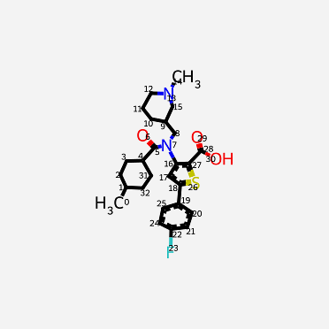 CC1CCC(C(=O)N(CC2CCCN(C)C2)c2cc(-c3ccc(F)cc3)sc2C(=O)O)CC1